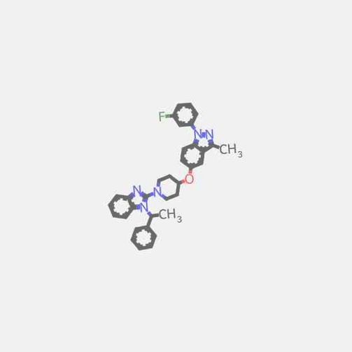 Cc1nn(-c2cccc(F)c2)c2ccc(OC3CCN(c4nc5ccccc5n4C(C)c4ccccc4)CC3)cc12